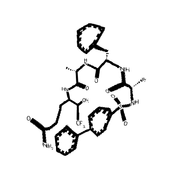 CC(C)[C@H](NS(=O)(=O)c1ccc(-c2ccccc2)cc1)C(=O)N[C@@H](Cc1ccccc1)C(=O)N[C@@H](C)C(=O)NC(CCC(N)=O)C(O)C(F)(F)F